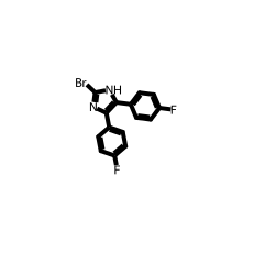 Fc1ccc(-c2nc(Br)[nH]c2-c2ccc(F)cc2)cc1